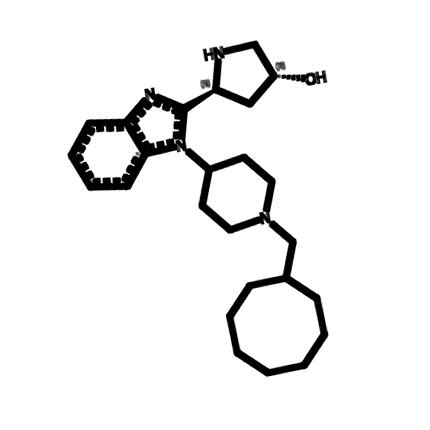 O[C@H]1CN[C@H](c2nc3ccccc3n2C2CCN(CC3CCCCCCC3)CC2)C1